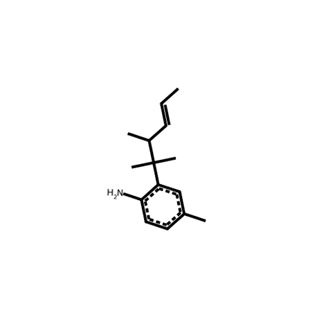 CC=CC(C)C(C)(C)c1cc(C)ccc1N